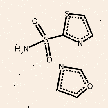 NS(=O)(=O)c1nccs1.c1cocn1